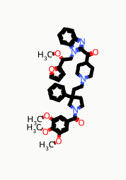 COc1cc(C(=O)N2CCC(CCN3CCC(C(=O)c4nc5ccccc5n4CC(OC)c4ccco4)CC3)(c3ccccc3)C2)cc(OC)c1OC